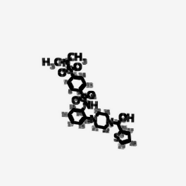 CN(C)S(=O)(=O)c1ccc(S(=O)(=O)Nc2ccccc2N2CCN([C@@H](O)c3cccs3)CC2)cc1